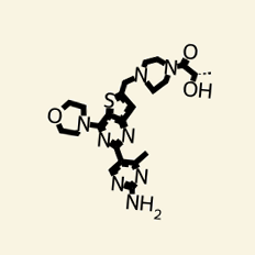 Cc1nc(N)ncc1-c1nc(N2CCOCC2)c2sc(CN3CCN(C(=O)[C@H](C)O)CC3)cc2n1